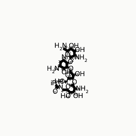 CC(C)C(=O)NCC1O[C@H](OC2[C@@H](CO)O[C@@H](OC3[C@H](O[C@H]4OC(CN)[C@@H](O)[C@H](O)C4N)C(N)C[C@@H](N)[C@H]3O)[C@H]2O)[C@@H](N)C(O)[C@@H]1O